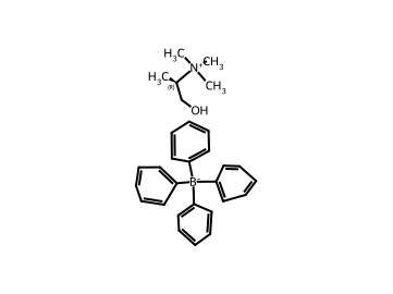 C[C@H](CO)[N+](C)(C)C.c1ccc([B-](c2ccccc2)(c2ccccc2)c2ccccc2)cc1